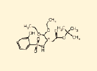 CCOC(OCC)[C@H](CC(=O)OC(C)(C)C)NS(=O)(=O)c1ccccc1O